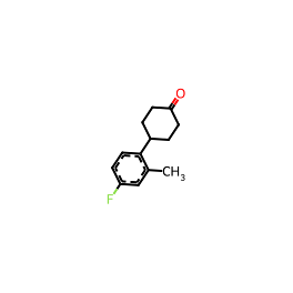 Cc1cc(F)ccc1C1CCC(=O)CC1